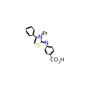 CC(C)n1c(-c2ccccc2)csc1=Nc1ccc(C(=O)O)cc1